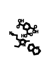 CCc1nc(C)cn1CCC#N.O=C(O)c1ccc(C(=O)O)c(C(=O)O)c1.c1ccc2ncccc2c1